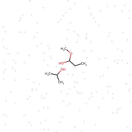 CC(C)O.CCC(O)OC